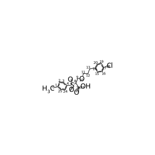 Cc1ccc(S(=O)(=O)C(COCCCc2ccc(Cl)cc2)C(=O)O)cc1